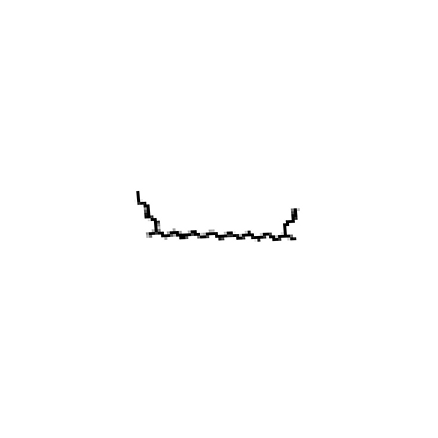 [CH2]CCCCC(C)C/C=C/CCCCCCCCCCC(C)CC[CH2]